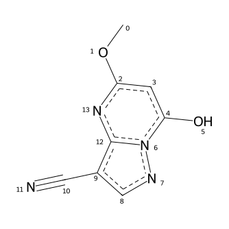 COc1cc(O)n2ncc(C#N)c2n1